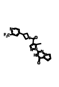 Cc1c(C(=O)N2CC(c3ccnc(C(F)(F)F)c3)C2)cnn1-c1nn2cccc2c(=O)[nH]1